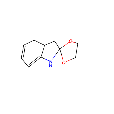 C1=CCC2CC3(NC2=C1)OCCO3